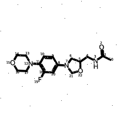 CC(=O)NCC1CN(c2ccc(N3CCOCC3)c(F)c2)CO1